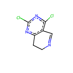 Clc1nc(Cl)c2c(n1)CCN=C2